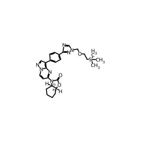 C[Si](C)(C)CCOCn1cnc(-c2ccc(-c3cnn4ccc(N5C(=O)O[C@@H]6CCCC[C@@H]65)nc34)cc2)n1